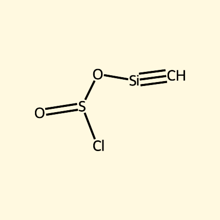 C#[Si]OS(=O)Cl